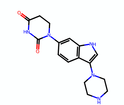 O=C1CCN(c2ccc3c(N4CCNCC4)c[nH]c3c2)C(=O)N1